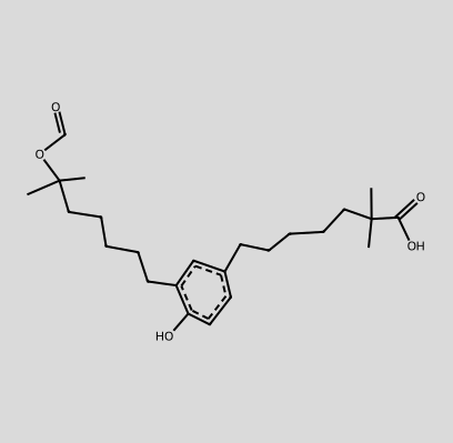 CC(C)(CCCCCc1cc(CCCCCC(C)(C)C(=O)O)ccc1O)OC=O